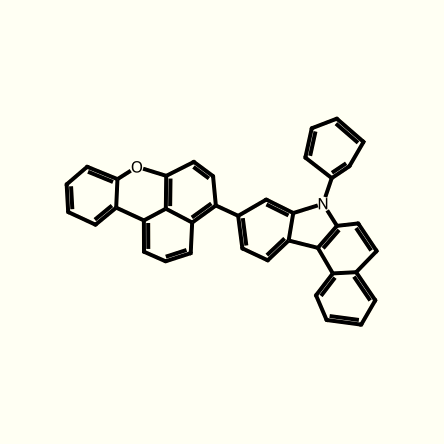 c1ccc(-n2c3cc(-c4ccc5c6c(cccc46)-c4ccccc4O5)ccc3c3c4ccccc4ccc32)cc1